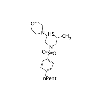 CCCCCc1ccc(S(=O)(=O)N(CCN2CCOCC2)CC(C)S)cc1